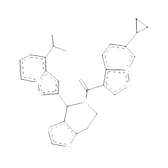 O=C(c1cnn2cc(C3CC3)ccc12)N1CCc2[nH]cnc2C1c1cc2c(C(F)F)cccn2n1